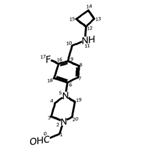 O=CCN1CCN(c2ccc(CNC3CCC3)c(F)c2)CC1